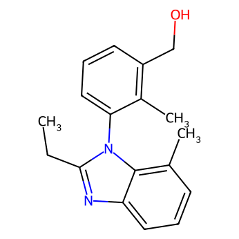 CCc1nc2cccc(C)c2n1-c1cccc(CO)c1C